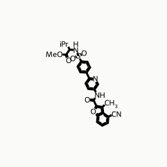 COC(=O)C(NS(=O)(=O)c1ccc(-c2ccc(NC(=O)c3oc4cccc(C#N)c4c3C)cn2)cc1)C(C)C